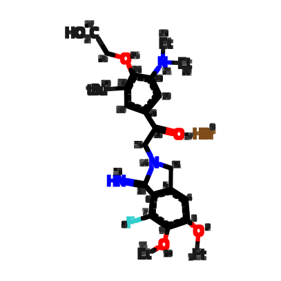 Br.CCOc1cc2c(c(F)c1OCC)C(=N)N(CC(=O)c1cc(N(CC)CC)c(OCC(=O)O)c(C(C)(C)C)c1)C2